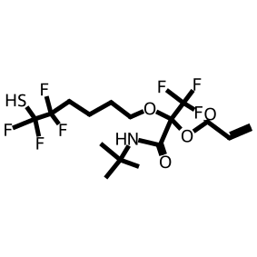 C=CC(=O)OC(OCCCCC(F)(F)C(F)(F)S)(C(=O)NC(C)(C)C)C(F)(F)F